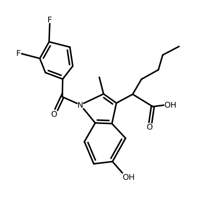 CCCCC(C(=O)O)c1c(C)n(C(=O)c2ccc(F)c(F)c2)c2ccc(O)cc12